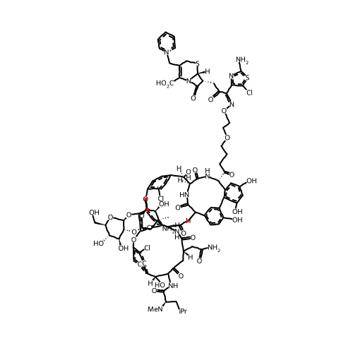 CN[C@H](CC(C)C)C(=O)NC1C(=O)C[C@@H](CC(N)=O)C(=O)N[C@H]2C(=O)C[C@H]3C(=O)N[C@H](C(=O)N[C@H](C(=O)CCCOCCO/N=C(\C(=O)C[C@@H]4C(=O)N5C(C(=O)O)=C(C[n+]6ccccc6)CS[C@H]45)c4nc(N)sc4Cl)c4cc(O)cc(O)c4-c4cc3ccc4O)[C@H](O)c3ccc(c(Cl)c3)Oc3cc2cc(c3O[C@@H]2O[C@H](CO)[C@@H](O)[C@H](O)[C@H]2O[C@H]2C[C@](C)(N)[C@H](O)[C@H](C)O2)Oc2ccc(cc2Cl)[C@H]1O